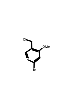 COc1cc(Br)ncc1CCl